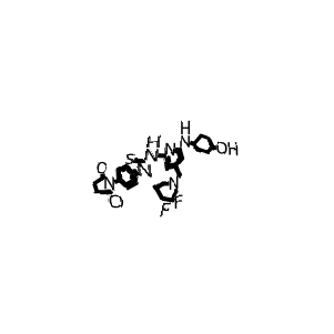 O=C1CCC(=O)N1c1ccc2nc(Nc3cc(CN4CCCC(F)(F)C4)cc(NC4CCC(O)CC4)n3)sc2c1